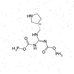 O=C(N=C(NC[C@H]1CCNC1)NC(=O)OP)OP